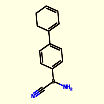 N#CB(N)c1ccc(C2=CC=CCC2)cc1